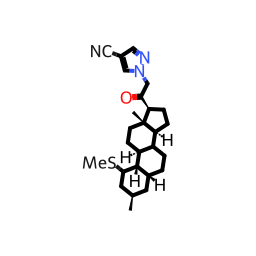 CSC1C[C@H](C)C[C@H]2CCC3[C@H](CC[C@]4(C)[C@@H](C(=O)Cn5cc(C#N)cn5)CC[C@@H]34)[C@@H]12